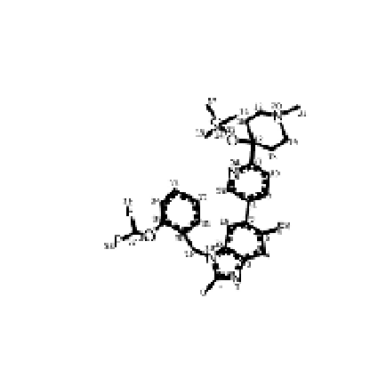 Cc1nc2cc(F)c(-c3ccc(C4(O[Si](C)(C)C)CCN(C)CC4)nc3)cc2n1Cc1ccccc1OC(F)F